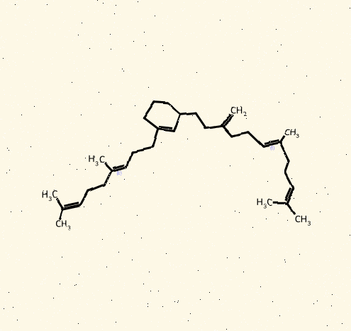 C=C(CC/C=C(\C)CCC=C(C)C)CCC1C=C(CC/C=C(\C)CCC=C(C)C)CCC1